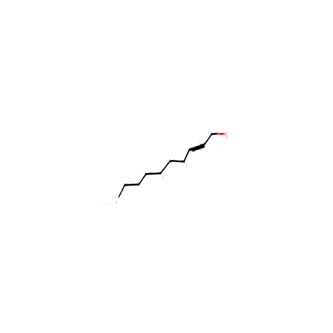 CCCCCCCCCCCCC=CCO